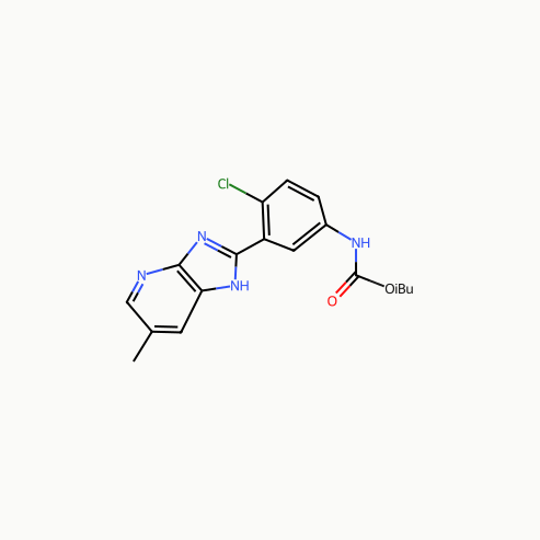 Cc1cnc2nc(-c3cc(NC(=O)OCC(C)C)ccc3Cl)[nH]c2c1